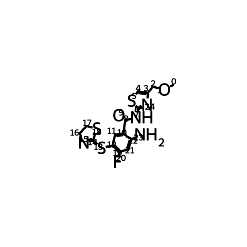 COCc1csc(NC(=O)c2cc(SC3=NCCS3)c(F)cc2N)n1